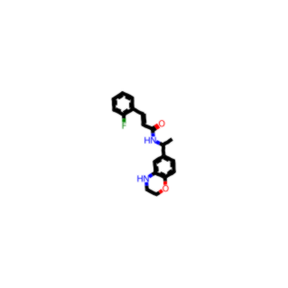 CC(NC(=O)C=Cc1ccccc1F)c1ccc2c(c1)NCCO2